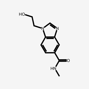 CNC(=O)c1ccc2c(c1)ncn2CCO